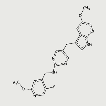 COc1cnc2[nH]cc(Cc3cnc(NCc4cc(OC)ncc4F)nc3)c2c1